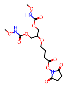 CONC(=O)OCC(COC(=O)NOC)OCCCC(=O)ON1C(=O)CCC1=O